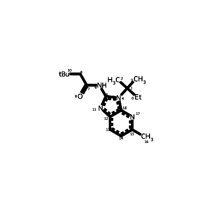 CCC(C)(C)n1c(NC(=O)CC(C)(C)C)nc2ccc(C)nc21